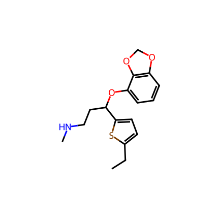 CCc1ccc(C(CCNC)Oc2cccc3c2OCO3)s1